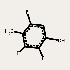 Cc1c(F)cc(O)c(F)c1F